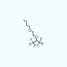 CCCCOCCOC(C(F)(F)F)C(F)(F)F